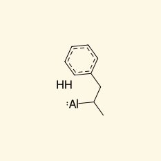 C[CH]([Al])Cc1ccccc1.[HH]